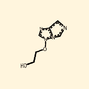 OCCOn1cnc2cncn21